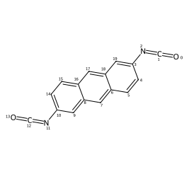 O=C=Nc1ccc2cc3cc(N=C=O)ccc3cc2c1